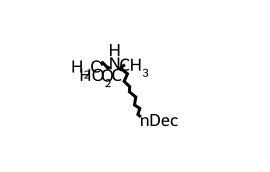 C=CC(=O)NC(C)(CCCCCCCCCCCCCCCCCC)C(=O)O